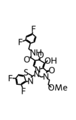 COCCN1CN(c2nc3c(F)cc(F)cc3s2)n2cc(C(=O)NCc3ccc(F)cc3F)c(=O)c(O)c2C1=O